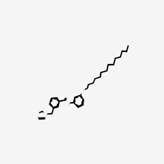 Br.CCCCCCCCCCCCCCOc1cccc(NC(=O)c2cccc(CN3C=CSC3)c2)c1